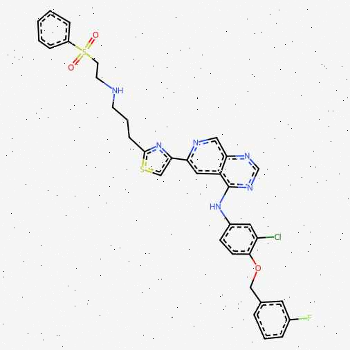 O=S(=O)(CCNCCCc1nc(-c2cc3c(Nc4ccc(OCc5cccc(F)c5)c(Cl)c4)ncnc3cn2)cs1)c1ccccc1